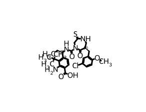 CC[C@@H](NC(=O)N1CC(=S)NC[C@@H](Cc2cc(Cl)ccc2OC)C1=O)c1ccc(C(=O)O)c(N)c1C(C)(C)C